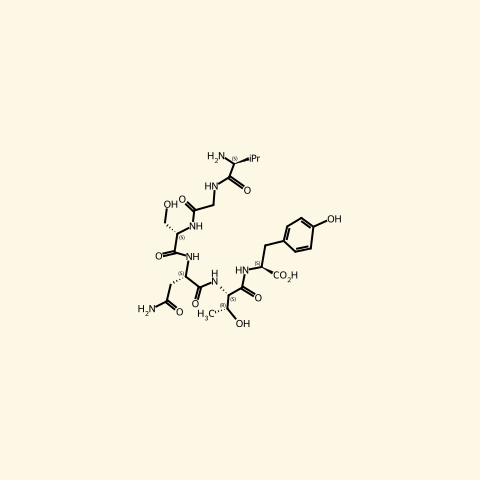 CC(C)[C@H](N)C(=O)NCC(=O)N[C@@H](CO)C(=O)N[C@@H](CC(N)=O)C(=O)N[C@H](C(=O)N[C@@H](Cc1ccc(O)cc1)C(=O)O)[C@@H](C)O